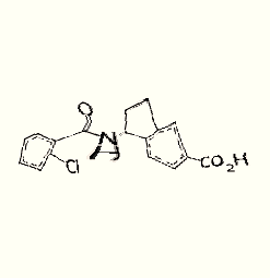 O=C(O)c1ccc2c(c1)CC[C@H]2NC(=O)c1ccccc1Cl